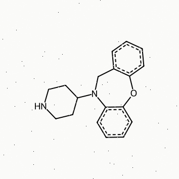 c1ccc2c(c1)CN(C1CCNCC1)c1ccccc1O2